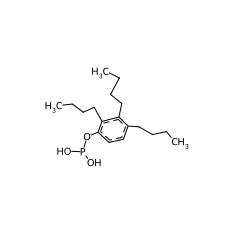 CCCCc1ccc(OP(O)O)c(CCCC)c1CCCC